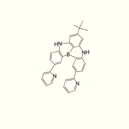 CC(C)(C)c1cc2c3c(c1)Nc1ccc(-c4ccccn4)cc1B3c1cc(-c3ccccn3)ccc1N2